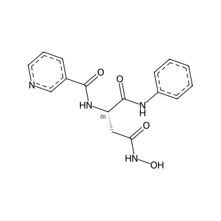 O=C(C[C@H](NC(=O)c1cccnc1)C(=O)Nc1ccccc1)NO